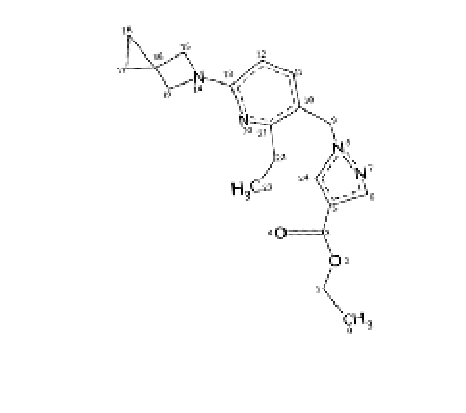 CCOC(=O)c1cnn(Cc2ccc(N3CC4(CC4)C3)nc2CC)c1